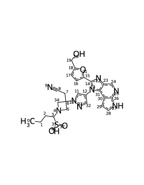 CCCC(N1CC(CC#N)(n2cc(-n3c(-c4ccc(CO)o4)nc4cnc5[nH]ccc5c43)cn2)C1)[SH](=O)=O